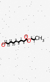 CCCOC(=O)CCCCCCCC=O